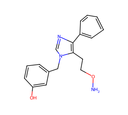 NOCCc1c(-c2ccccc2)ncn1Cc1cccc(O)c1